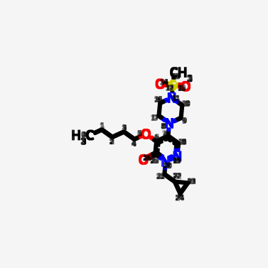 CCCCCOc1c(N2CCN(S(C)(=O)=O)CC2)cnn(CC2CC2)c1=O